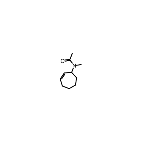 CC(=O)N(C)C1C=CCCCC1